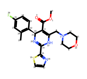 COC(=O)C1=C(CN2CCOCC2)NC(c2nccs2)=N[C@H]1c1ccc(F)cc1C